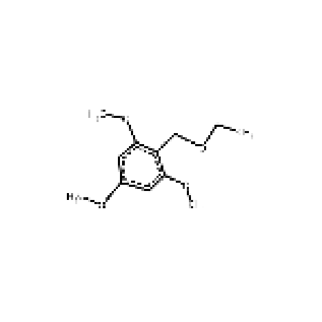 C[CH]OCc1c(OC)cc(OC)cc1OC